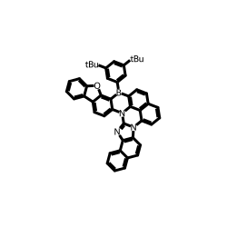 CC(C)(C)c1cc(B2c3c(ccc4c3oc3ccccc34)-n3c4c2ccc2cccc(c24)n2c4ccc5ccccc5c4nc32)cc(C(C)(C)C)c1